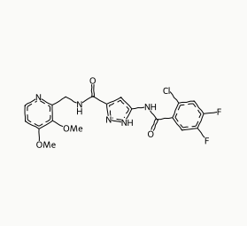 COc1ccnc(CNC(=O)c2cc(NC(=O)c3cc(F)c(F)cc3Cl)[nH]n2)c1OC